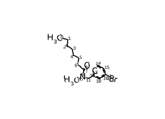 CCCCCCCC(=O)N(C)Cc1cccc(Br)c1